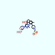 Cc1nc(N2CCO[C@@H](CO)C2)cc([C@@]2(O)CCc3cc(C)c(C4CCN(CCS(C)(=O)=O)CC4)cc32)n1